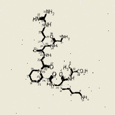 C[C@H](NC(=O)[C@H](CCCCN)NC(=O)[C@@H]1CCCCN1C(=O)CNC(=O)[C@H](CCCNC(=N)N)NC(=O)CN)C(=O)O